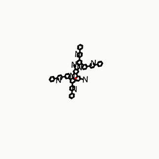 N#Cc1cccc(-c2cc(-n3c4ccc(-c5ccc(-c6ccccc6)nc5)cc4c4cc(-c5ccc(-c6ccccc6)nc5)ccc43)c(C#N)cc2-n2c3ccc(-c4ccc(-c5ccccc5)nc4)cc3c3cc(-c4ccc(-c5ccccc5)nc4)ccc32)c1